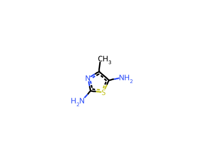 Cc1nc(N)sc1N